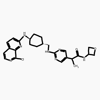 CC(C(=O)NC1COC1)c1cnc(NC[C@H]2CC[C@H](Nc3ccc4ccnc(Cl)c4n3)CC2)nc1